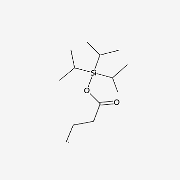 [CH2]CCC(=O)O[Si](C(C)C)(C(C)C)C(C)C